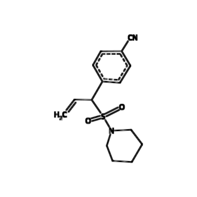 C=CC(c1ccc(C#N)cc1)S(=O)(=O)N1CCCCC1